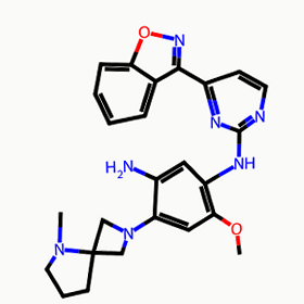 COc1cc(N2CC3(CCCN3C)C2)c(N)cc1Nc1nccc(-c2noc3ccccc23)n1